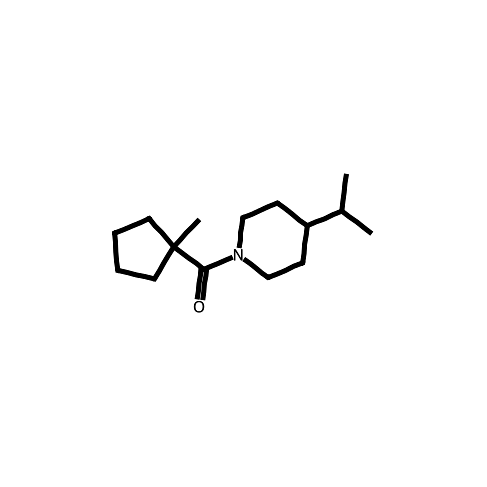 CC(C)C1CCN(C(=O)C2(C)CCCC2)CC1